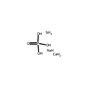 O=P(O)(O)O.[CaH2].[NaH].[SiH4]